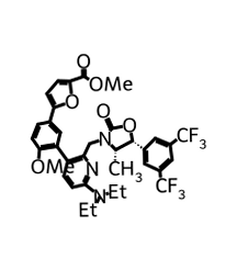 CCN(CC)c1ccc(-c2cc(-c3ccc(C(=O)OC)o3)ccc2OC)c(CN2C(=O)O[C@H](c3cc(C(F)(F)F)cc(C(F)(F)F)c3)[C@@H]2C)n1